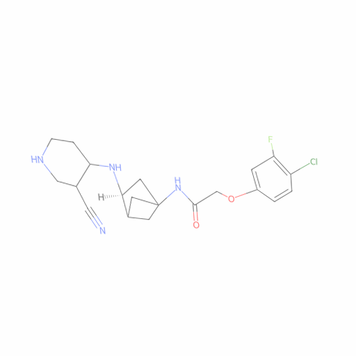 N#CC1CNCCC1N[C@H]1CC2(NC(=O)COc3ccc(Cl)c(F)c3)CC1C2